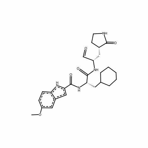 COc1ccc2[nH]c(C(=O)N[C@@H](CC3CCCCC3)C(=O)N[C@H](C=O)C[C@@H]3CCNC3=O)cc2c1